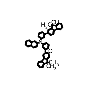 CC1(C)c2ccccc2-c2ccc(-c3cccc(N(c4ccc5ccccc5c4)c4ccc5oc6cc7c(cc6c5c4)-c4ccccc4C7(C)C)c3)cc21